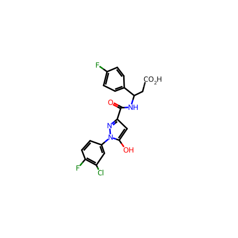 O=C(O)CC(NC(=O)c1cc(O)n(-c2ccc(F)c(Cl)c2)n1)c1ccc(F)cc1